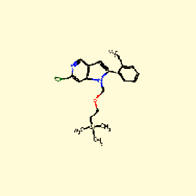 Cc1ccccc1-c1cc2cnc(Cl)cc2n1COCC[Si](C)(C)C